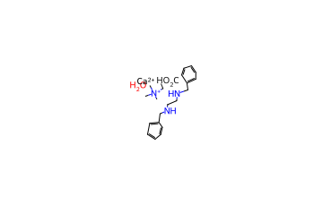 C[N+](C)(C)CC(=O)O.O.[Ca+2].c1ccc(CNCCNCc2ccccc2)cc1